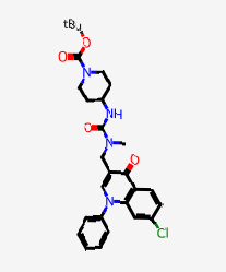 CN(Cc1cn(-c2ccccc2)c2cc(Cl)ccc2c1=O)C(=O)NC1CCN(C(=O)OC(C)(C)C)CC1